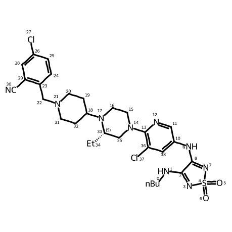 CCCCNC1=NS(=O)(=O)N=C1Nc1cnc(N2CCN(C3CCN(Cc4ccc(Cl)cc4C#N)CC3)[C@@H](CC)C2)c(Cl)c1